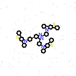 c1cc(-c2nc(-c3cccc(-n4c5ccccc5c5cc6sc7ccccc7c6cc54)c3)c3cc(-c4ccc(-n5c6ccccc6c6cc7sc8ccccc8c7cc65)cc4)ccc3n2)cc(-n2c3ccccc3c3cc4sc5ccccc5c4cc32)c1